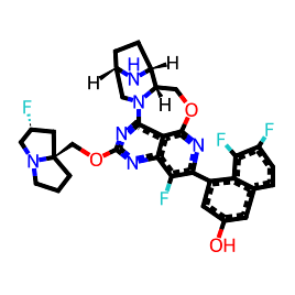 Oc1cc(-c2nc3c4c(nc(OC[C@@]56CCCN5C[C@H](F)C6)nc4c2F)N2C[C@@H]4CC[C@@H](N4)[C@@H]2CO3)c2c(F)c(F)ccc2c1